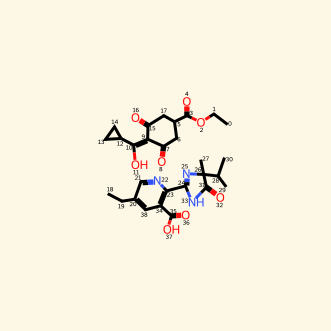 CCOC(=O)C1CC(=O)C(=C(O)C2CC2)C(=O)C1.CCc1cnc(C2=NC(C)(C(C)C)C(=O)N2)c(C(=O)O)c1